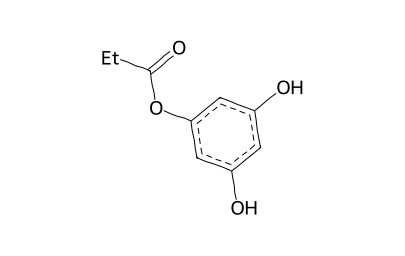 [CH2]CC(=O)Oc1cc(O)cc(O)c1